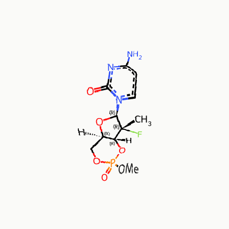 COP1(=O)OC[C@H]2O[C@@H](n3ccc(N)nc3=O)[C@](C)(F)[C@@H]2O1